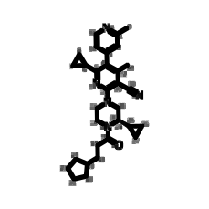 Cc1cc(-c2c(C3CC3)nc(N3CCN(C(=O)CCC4CCCC4)[C@H](C4CC4)C3)c(C#N)c2C)ccn1